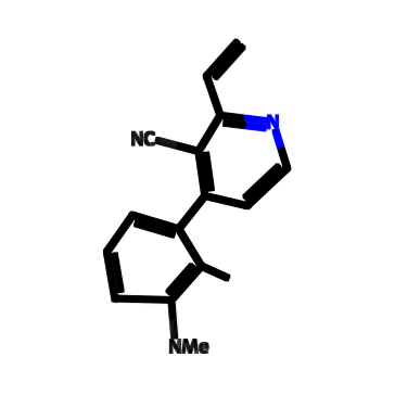 C=Cc1nccc(-c2cccc(NC)c2C)c1C#N